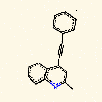 Cc1cc(C#Cc2ccccc2)c2ccccc2n1